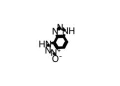 [O-][n+]1n[nH]c2c3nn[nH]c3ccc21